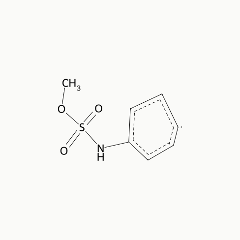 COS(=O)(=O)Nc1cc[c]cc1